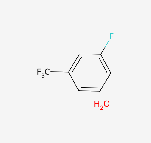 Fc1cccc(C(F)(F)F)c1.O